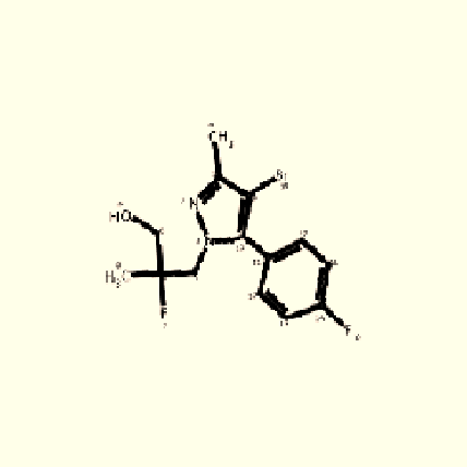 Cc1nn(CC(C)(F)CO)c(-c2ccc(F)cc2)c1Br